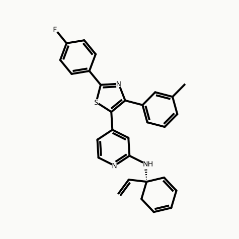 C=C[C@@]1(Nc2cc(-c3sc(-c4ccc(F)cc4)nc3-c3cccc(C)c3)ccn2)C=CC=CC1